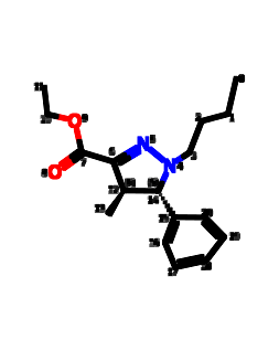 CCCCN1N=C(C(=O)OCC)[C@H](C)[C@H]1c1ccccc1